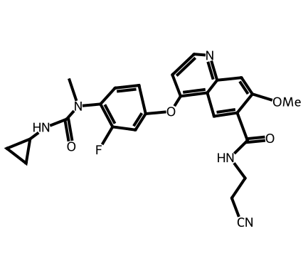 COc1cc2nccc(Oc3ccc(N(C)C(=O)NC4CC4)c(F)c3)c2cc1C(=O)NCCC#N